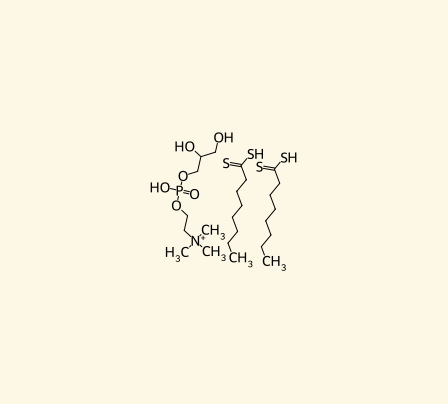 CCCCCCCC(=S)S.CCCCCCCC(=S)S.C[N+](C)(C)CCOP(=O)(O)OCC(O)CO